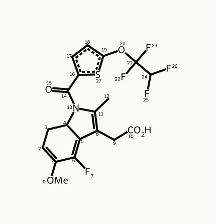 COC1=CCC2C(=C1F)C(CC(=O)O)=C(C)N2C(=O)c1ccc(OC(F)(F)C(F)F)s1